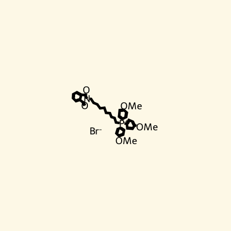 COc1ccc([P+](CCCCCCCCCCN2C(=O)c3ccccc3C2=O)(c2ccc(OC)cc2)c2ccc(OC)cc2)cc1.[Br-]